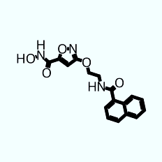 O=C(NO)c1cc(OCCNC(=O)c2cccc3ccccc23)no1